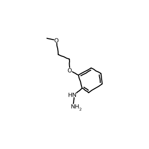 COCCOc1ccccc1NN